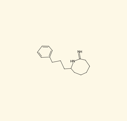 N=C1CCCCCC(CCCc2ccccc2)N1